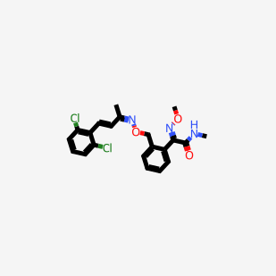 CNC(=O)C(=NOC)c1ccccc1CON=C(C)/C=C/c1c(Cl)cccc1Cl